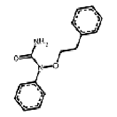 NC(=O)N(OCCc1ccccc1)c1ccccc1